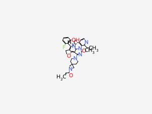 C=CC(=O)N1CC2(CCN(c3nc(=O)n(-c4c(C)ccnc4C(C)C)c4nc(-c5c(O)cccc5F)c5c(c34)OCC5)CC2)C1